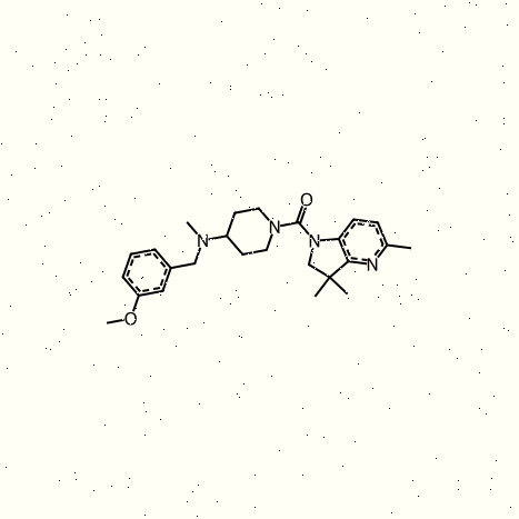 COc1cccc(CN(C)C2CCN(C(=O)N3CC(C)(C)c4nc(C)ccc43)CC2)c1